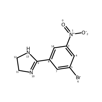 O=[N+]([O-])c1cc(Br)cc(C2=NCCN2)c1